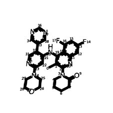 Cc1c(N2CCCCC2=O)nc2cc(F)cc(F)c2c1Nc1cc(N2CCOCC2)ncc1-c1cncnc1